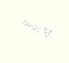 Cc1ccc2sc(C(=O)N[C@@H](CC(C)C)C(=O)NCCCN(C)S(=O)(=O)c3ccccc3C#N)cc2c1